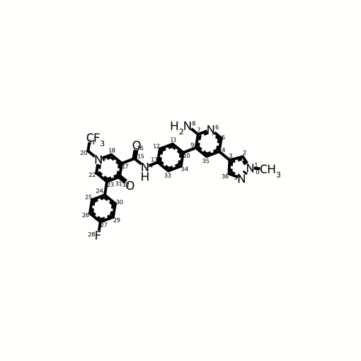 Cn1cc(-c2cnc(N)c(-c3ccc(NC(=O)c4cn(CC(F)(F)F)cc(-c5ccc(F)cc5)c4=O)cc3)c2)cn1